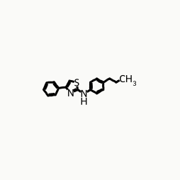 CCCc1ccc(Nc2nc(-c3ccccc3)cs2)cc1